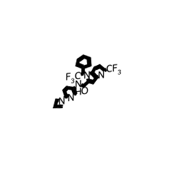 O=C(Nc1ccc(N2CCC2)nc1)c1cc2nc(C(F)(F)F)ccc2n1C(c1ccccc1)C(F)(F)F